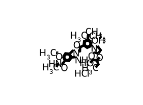 CCOc1cc2c(cc1C(=O)NC)C(=N)N(CC(=O)c1cc(N3CCC(OC(CC)C(=O)O)C3)c(O)c(C(C)(C)C)c1)C2.Cl